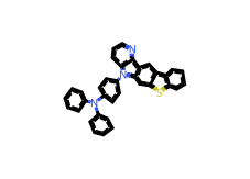 c1ccc(N(c2ccccc2)c2ccc(-n3c4cc5sc6ccccc6c5cc4c4ncccc43)cc2)cc1